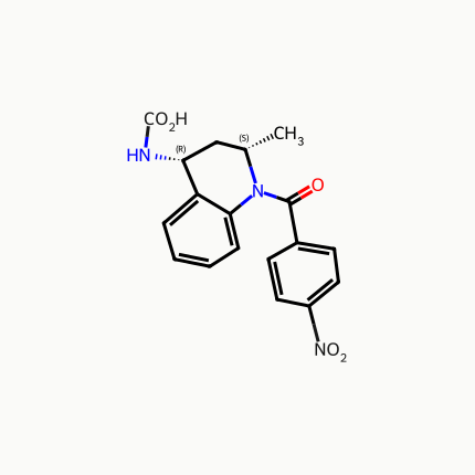 C[C@H]1C[C@@H](NC(=O)O)c2ccccc2N1C(=O)c1ccc([N+](=O)[O-])cc1